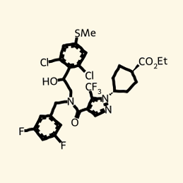 CCOC(=O)[C@H]1CC[C@H](n2ncc(C(=O)N(Cc3cc(F)cc(F)c3)CC(O)c3c(Cl)cc(SC)cc3Cl)c2C(F)(F)F)CC1